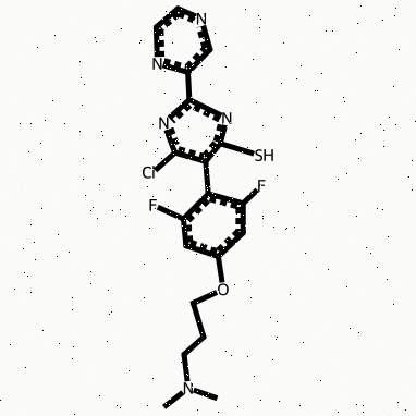 CN(C)CCCOc1cc(F)c(-c2c(S)nc(-c3cnccn3)nc2Cl)c(F)c1